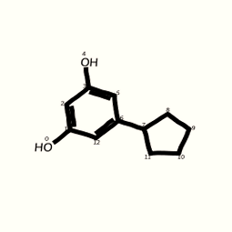 Oc1cc(O)cc(C2CCCC2)c1